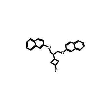 ClC1CC(C(COc2ccc3ccccc3c2)COc2ccc3ccccc3c2)C1